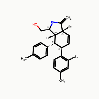 C=C1N[C@H](CO)[C@H]2[C@@H](c3ccc(C)cc3)[C@H](c3ccc(C)cc3CC)C=C[C@@]12CC